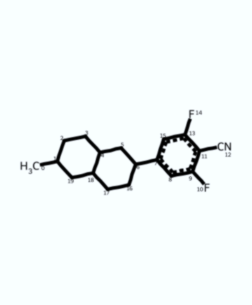 CC1CCC2CC(c3cc(F)c(C#N)c(F)c3)CCC2C1